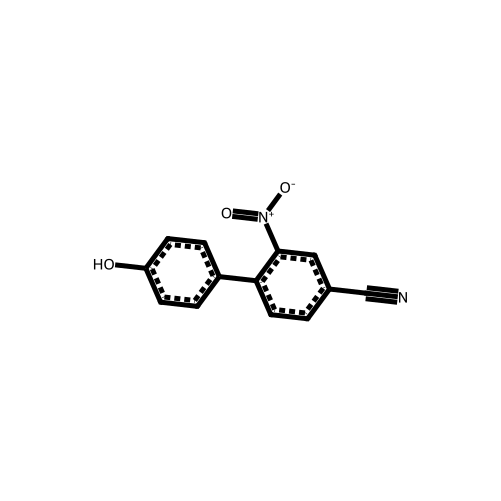 N#Cc1ccc(-c2ccc(O)cc2)c([N+](=O)[O-])c1